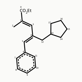 CCOC(=O)/C(C)=C/C(=C/c1ccccc1)CC1CCCC1